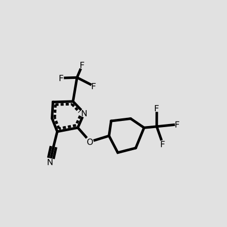 N#Cc1ccc(C(F)(F)F)nc1OC1CCC(C(F)(F)F)CC1